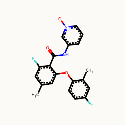 Cc1cc(F)c(C(=O)Nc2ccc[n+]([O-])c2)c(Oc2ccc(F)cc2C)c1